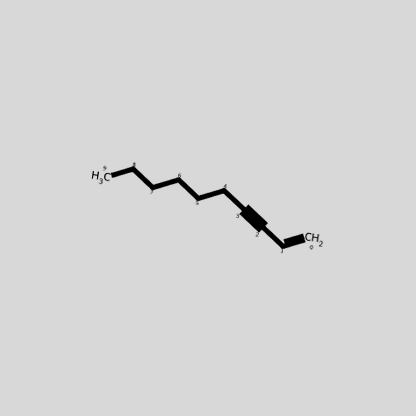 C=CC#CCCCCCC